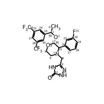 C[C@@H](O[C@H]1OCCN(Cc2n[nH]c(=O)[nH]2)C1c1cccc(F)c1)c1cc(C(F)(F)F)cc(C(F)(F)F)c1